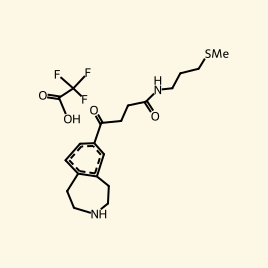 CSCCCNC(=O)CCC(=O)c1ccc2c(c1)CCNCC2.O=C(O)C(F)(F)F